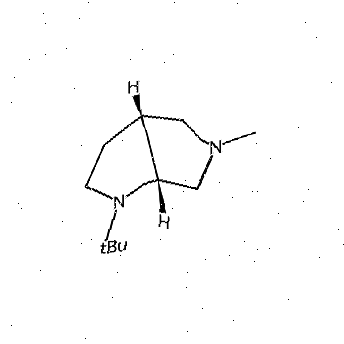 CN1C[C@H]2CCN(C(C)(C)C)[C@H]2C1